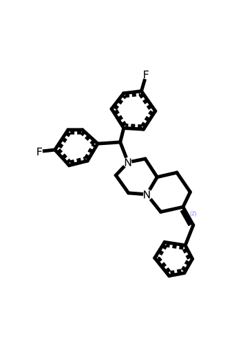 Fc1ccc(C(c2ccc(F)cc2)N2CCN3C/C(=C\c4ccccc4)CCC3C2)cc1